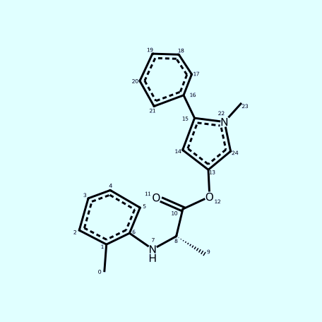 Cc1ccccc1N[C@@H](C)C(=O)Oc1cc(-c2ccccc2)n(C)c1